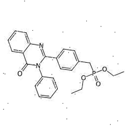 CCOP(=O)(Cc1ccc(-c2nc3ccccc3c(=O)n2-c2ccccc2)cc1)OCC